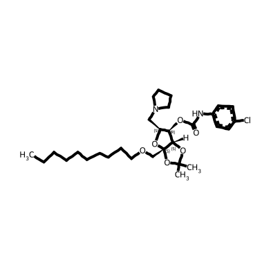 CCCCCCCCCCOC[C@@]12O[C@@H](CN3CCCC3)[C@@H](OC(=O)Nc3ccc(Cl)cc3)[C@@H]1OC(C)(C)O2